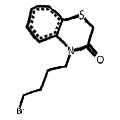 O=C1CSc2ccccc2N1CCCCBr